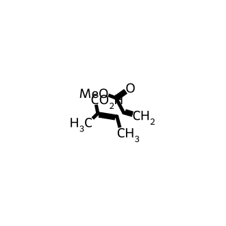 C=CC(=O)OC.CC=C(C)C(=O)O